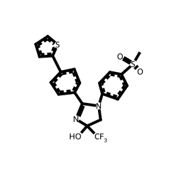 CS(=O)(=O)c1ccc(N2CC(O)(C(F)(F)F)N=C2c2ccc(-c3cccs3)cc2)cc1